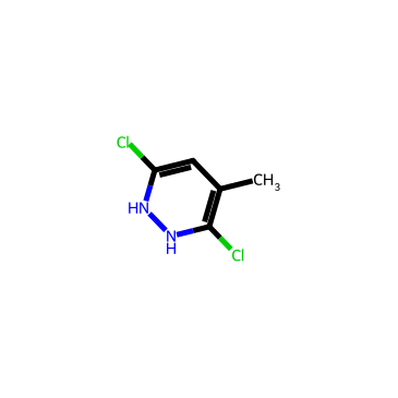 CC1=C(Cl)NNC(Cl)=C1